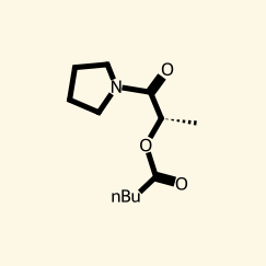 CCCCC(=O)O[C@@H](C)C(=O)N1CCCC1